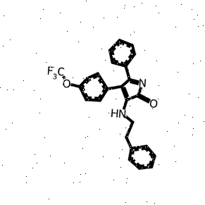 O=C1N=C(c2ccccc2)C(c2ccc(OC(F)(F)F)cc2)=C1NCCc1ccccc1